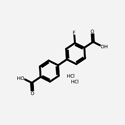 Cl.Cl.O=C(O)c1ccc(-c2ccc(C(=O)O)c(F)c2)cc1